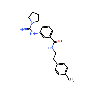 Cc1ccc(CCNC(=O)c2cccc(NC(=N)N3CCCC3)c2)cc1